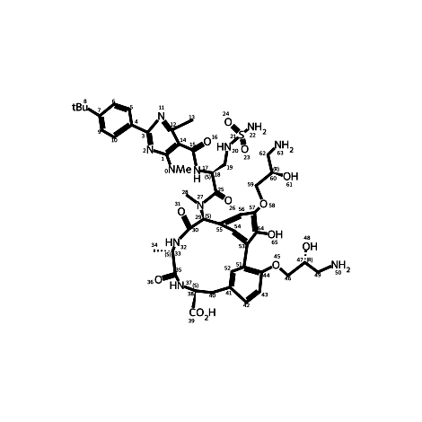 CNc1nc(-c2ccc(C(C)(C)C)cc2)nc(C)c1C(=O)N[C@@H](CNS(N)(=O)=O)C(=O)N(C)[C@@H]1C(=O)N[C@@H](C)C(=O)N[C@H](C(=O)O)Cc2ccc(OC[C@H](O)CN)c(c2)-c2cc1cc(OC[C@H](O)CN)c2O